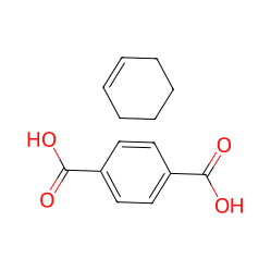 C1=CCCCC1.O=C(O)c1ccc(C(=O)O)cc1